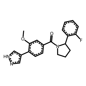 COc1cc(C(=O)N2CCCC2c2ccccc2F)ccc1-c1cn[nH]c1